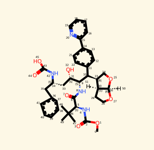 COC(=O)N[C@H](C(=O)N[C@@H](C(c1ccc(-c2ccccn2)cc1)[C@H]1CO[C@H]2OCC[C@H]21)[C@@H](O)C[C@H](Cc1ccccc1)NC(=O)O)C(C)(C)C